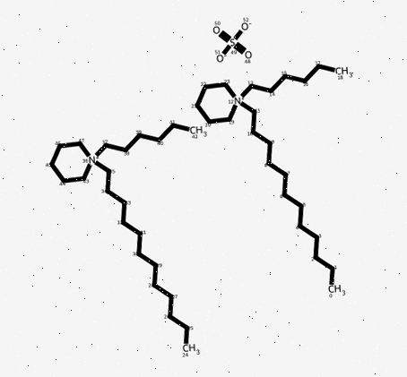 CCCCCCCCCCCC[N+]1(CCCCCC)CCCCC1.CCCCCCCCCCCC[N+]1(CCCCCC)CCCCC1.O=S(=O)([O-])[O-]